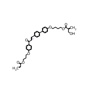 C=CC(=O)OCCCOc1ccc(C(=O)/C=C/c2ccc(-c3ccc(OCCCCOC(=O)C(=C)CO)cc3)cc2)cc1